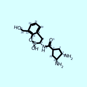 N[C@H]1CC(C(=O)N[C@H]2Cc3cccc(CO)c3OB2O)C[C@@H]1N